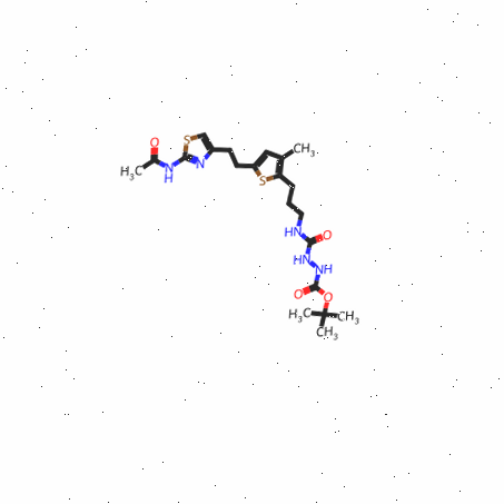 CC(=O)Nc1nc(CCc2cc(C)c(CCCNC(=O)NNC(=O)OC(C)(C)C)s2)cs1